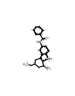 CCC1Cc2c([nH]c3ccc(NC(=O)c4ccccc4)cc23)C(N)C1